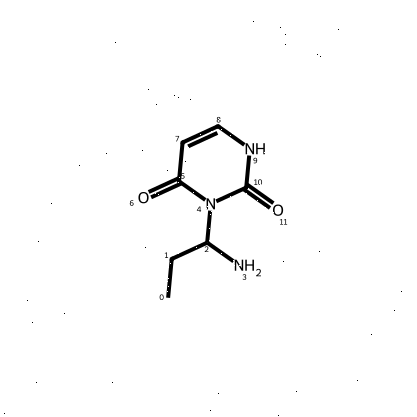 CCC(N)n1c(=O)cc[nH]c1=O